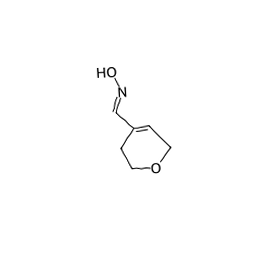 O/N=C/C1=CCOCC1